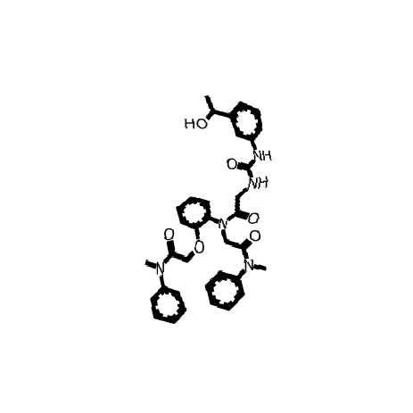 CC(O)c1cccc(NC(=O)NCC(=O)N(CC(=O)N(C)c2ccccc2)c2ccccc2OCC(=O)N(C)c2ccccc2)c1